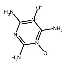 Nc1nc(N)[n+]([O-])c(N)[n+]1[O-]